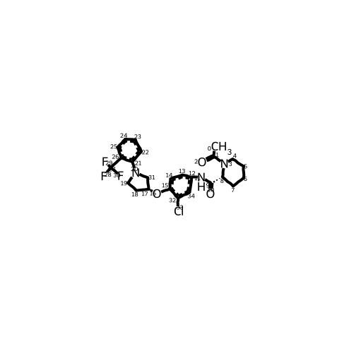 CC(=O)N1CCCC[C@@H]1C(=O)Nc1ccc(O[C@H]2CCN(c3ccccc3C(F)(F)F)C2)c(Cl)c1